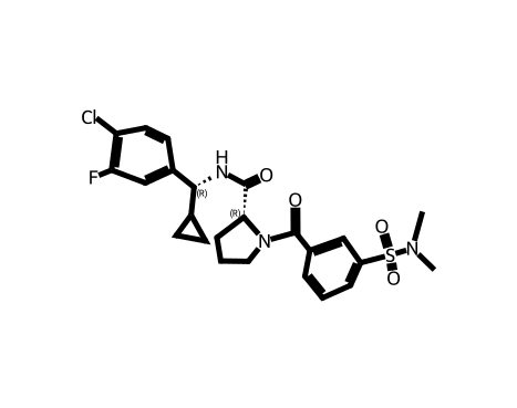 CN(C)S(=O)(=O)c1cccc(C(=O)N2CCC[C@@H]2C(=O)N[C@@H](c2ccc(Cl)c(F)c2)C2CC2)c1